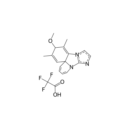 COC1C(C)=CC23C=CC=CN2c2nccn2C3=C1C.O=C(O)C(F)(F)F